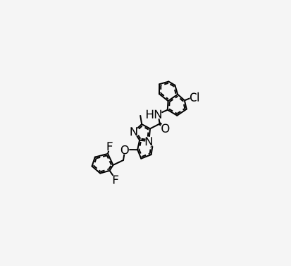 Cc1nc2c(OCc3c(F)cccc3F)cccn2c1C(=O)Nc1ccc(Cl)c2ccccc12